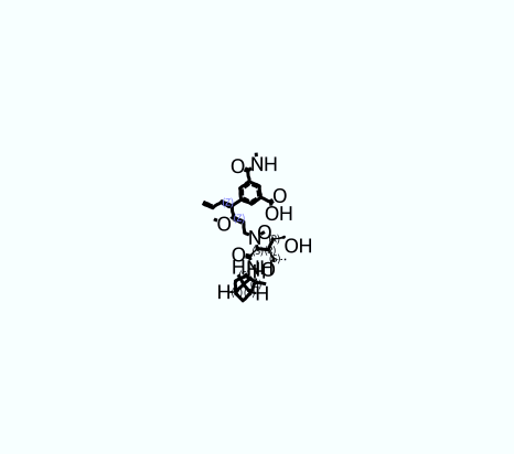 C=C/C=C(\C(=C\CN1O[C@@H](CO)[C@@H]([C@H](C)O)[C@H]1C(=O)N[C@H]1C[C@H]2C[C@@H]([C@@H]1C)C2(C)C)OC)c1cc(C(=O)O)cc(C(=O)NC)c1